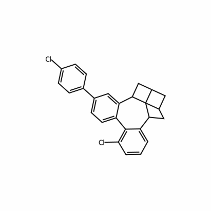 Clc1ccc(-c2ccc3c(c2)C2CC4CC5CC(c6cccc(Cl)c6-3)C452)cc1